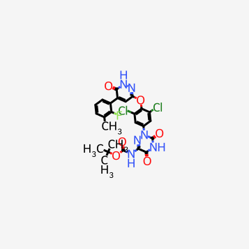 Cc1cccc(-c2cc(Oc3c(Cl)cc(-n4nc(NC(=O)OC(C)(C)C)c(=O)[nH]c4=O)cc3Cl)n[nH]c2=O)c1F